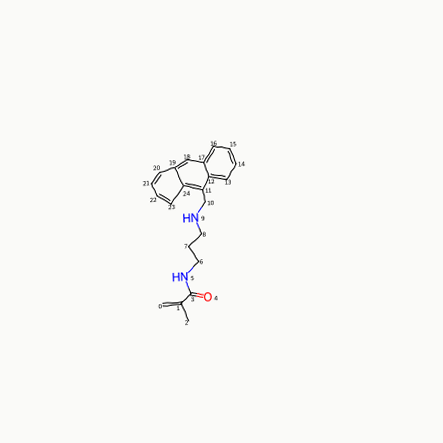 C=C(C)C(=O)NCCCNCc1c2ccccc2cc2ccccc12